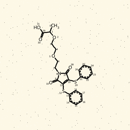 CC(OCCOCCN1C(=O)C(Sc2ccccc2)=C(Sc2ccccc2)C1=O)C(=O)O